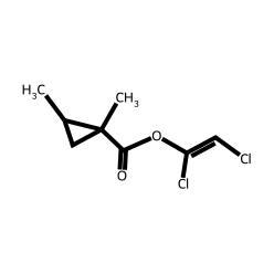 CC1CC1(C)C(=O)OC(Cl)=CCl